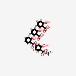 O=C([O-])c1ccccc1O.O=C([O-])c1ccccc1O.O=C([O-])c1ccccc1O.O=C([O-])c1ccccc1O.[Hf+4]